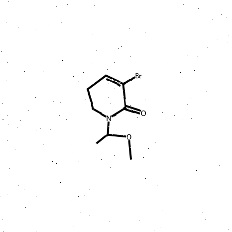 COC(C)N1CCC=C(Br)C1=O